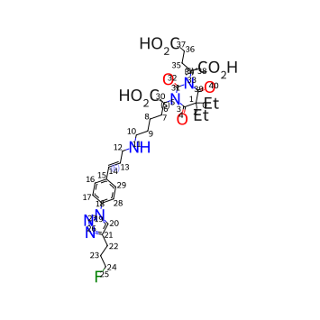 CCC1(CC)C(=O)N([C@@H](CCCCNC/C=C/c2ccc(-n3cc(CCCF)nn3)cc2)C(=O)O)C(=O)N([C@@H](CCC(=O)O)C(=O)O)C1=O